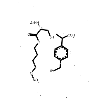 CC(=O)N[C@H](CS)C(=O)OCCCCO[N+](=O)[O-].CC(C)Cc1ccc(C(C)C(=O)O)cc1